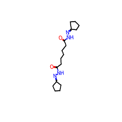 O=C(CCCCCC(=O)NN=C1CCCC1)NN=C1CCCC1